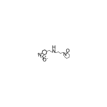 CN1C[S+]([O-])c2cc(CCNCCCCN3CCCCC3=O)ccc21